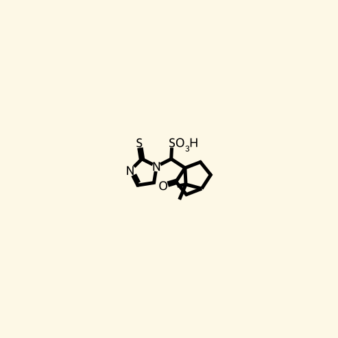 CC1(C)C2CCC1(C(N1CC=NC1=S)S(=O)(=O)O)C(=O)C2